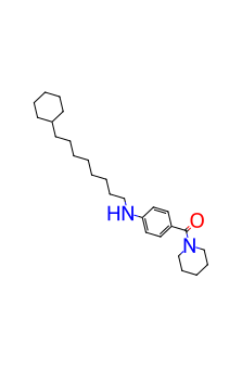 O=C(c1ccc(NCCCCCCCCC2CCCCC2)cc1)N1CCCCC1